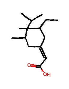 CCC1C/C(=C/C(=O)O)CC(C)C1(C)C(C)C